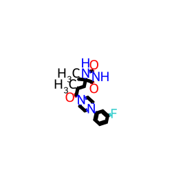 CCC1(CC(C)C(=O)N2CCN(c3cccc(F)c3)CC2)NC(=O)NC1=O